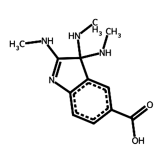 CNC1=Nc2ccc(C(=O)O)cc2C1(NC)NC